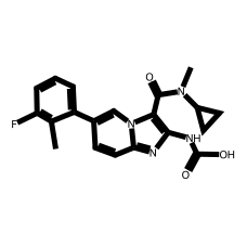 Cc1c(F)cccc1-c1ccc2nc(NC(=O)O)c(C(=O)N(C)C3CC3)n2c1